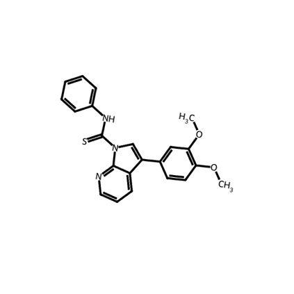 COc1ccc(-c2cn(C(=S)Nc3ccccc3)c3ncccc23)cc1OC